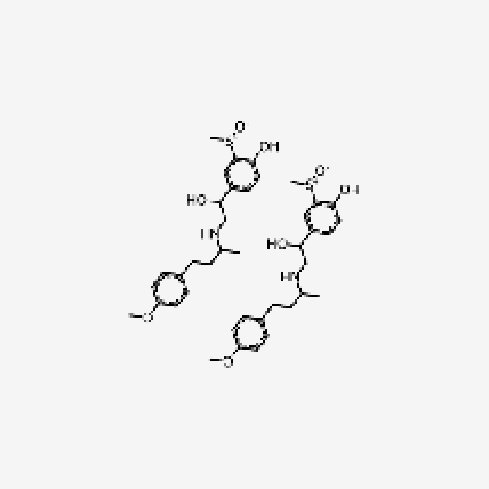 COc1ccc(CCC(C)NCC(O)c2ccc(O)c([S+](C)[O-])c2)cc1.COc1ccc(CCC(C)NCC(O)c2ccc(O)c([S+](C)[O-])c2)cc1